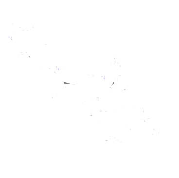 CN1C[C@H](C(=O)NCc2cccnc2)C[C@@H]2c3cccc4c3c(cn4C)C[C@H]21